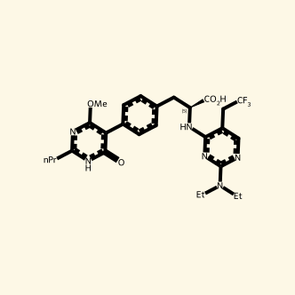 CCCc1nc(OC)c(-c2ccc(C[C@H](Nc3nc(N(CC)CC)ncc3CC(F)(F)F)C(=O)O)cc2)c(=O)[nH]1